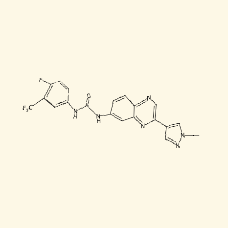 Cn1cc(-c2cnc3ccc(NC(=O)Nc4ccc(F)c(C(F)(F)F)c4)cc3n2)cn1